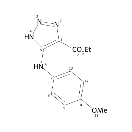 CCOC(=O)c1nn[nH]c1Nc1ccc(OC)cc1